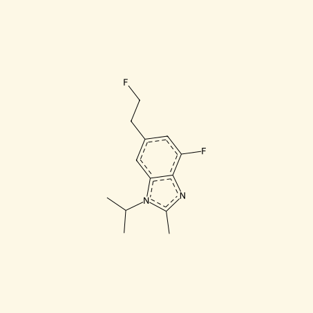 Cc1nc2c(F)cc(CCF)cc2n1C(C)C